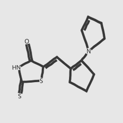 O=C1NC(=S)SC1=CC1=C(N2C=CCC2)CCC1